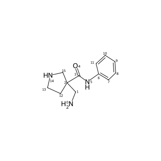 NCC1(C(=O)Nc2ccccc2)CCNC1